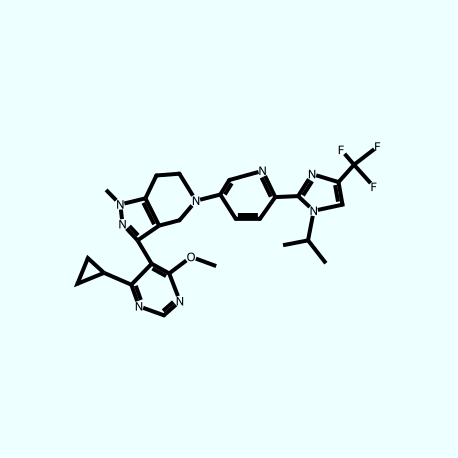 COc1ncnc(C2CC2)c1-c1nn(C)c2c1CN(c1ccc(-c3nc(C(F)(F)F)cn3C(C)C)nc1)CC2